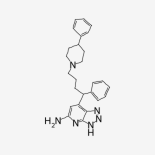 Nc1cc(C(CCCN2CCC(c3ccccc3)CC2)c2ccccc2)c2nn[nH]c2n1